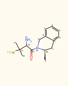 C[C@@H]1Cc2ccccc2CN1C(=O)C(N)C(C)(C)S